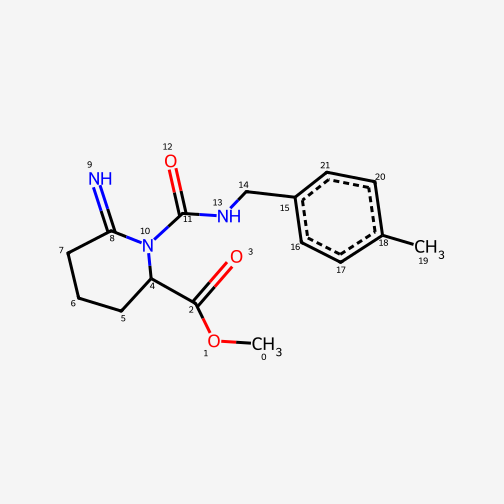 COC(=O)C1CCCC(=N)N1C(=O)NCc1ccc(C)cc1